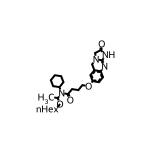 CCCCCCOC(C)N(C(=O)CCCOc1ccc2c(c1)CN1CC(=O)NC1=N2)C1CCCCC1